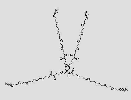 [N-]=[N+]=NCCOCCOCCOCCOCCNC(=O)CCOCC(COCCC(=O)NCCOCCOCCOCCOCCN=[N+]=[N-])(COCCC(=O)NCCOCCOCCOCCOCCN=[N+]=[N-])NC(=O)CCOCCOCCOCCOCCOCCC(=O)O